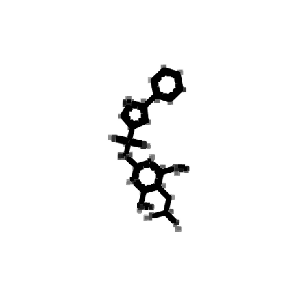 COc1nc(NS(=O)(=O)c2c[nH]c(-c3ccccc3)c2)nc(OC)c1CC(F)F